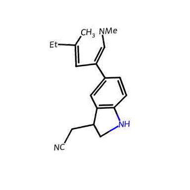 CC/C(C)=C/C(=C\NC)c1ccc2c(c1)C(CC#N)CN2